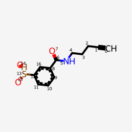 C#CCCCNC(=O)c1cccc([SH](=O)=O)c1